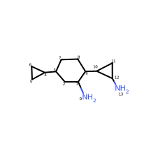 NC1CC(C2CC2)CCC1C1CC1N